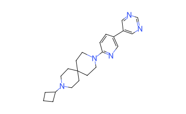 c1ncc(-c2ccc(N3CCC4(CC3)CCN(C3CCC3)CC4)nc2)cn1